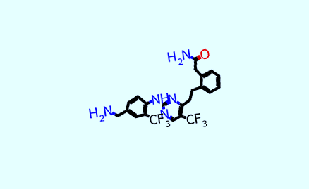 NCc1ccc(Nc2ncc(C(F)(F)F)c(CCc3ccccc3CC(N)=O)n2)c(C(F)(F)F)c1